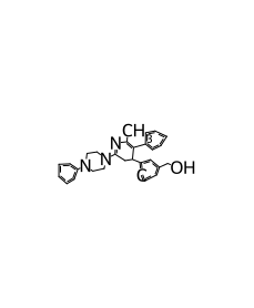 CC1=C(c2ccccc2)C(c2cccc(CO)c2)CC(N2CCN(c3ccccc3)CC2)=N1